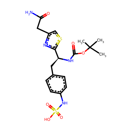 CC(C)(C)OC(=O)N[C@@H](Cc1ccc(NS(=O)(=O)O)cc1)c1nc(CC(N)=O)cs1